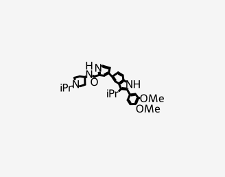 COc1ccc(-c2[nH]c3ccc(-c4ccnc(C(=O)NC5CCN(C(C)C)CC5)c4)cc3c2C(C)C)cc1OC